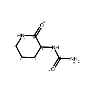 NC(=O)NC1CCCNC1=O